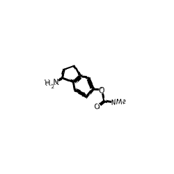 CNC(=O)Oc1ccc2c(c1)CCC2N